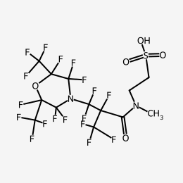 CN(CCS(=O)(=O)O)C(=O)C(F)(C(F)(F)F)C(F)(F)N1C(F)(F)C(F)(C(F)(F)F)OC(F)(C(F)(F)F)C1(F)F